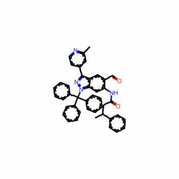 Cc1cc(-c2nn(C(c3ccccc3)(c3ccccc3)c3ccccc3)c3cc(NC(=O)CC(C)c4ccccc4)c(C=O)cc23)ccn1